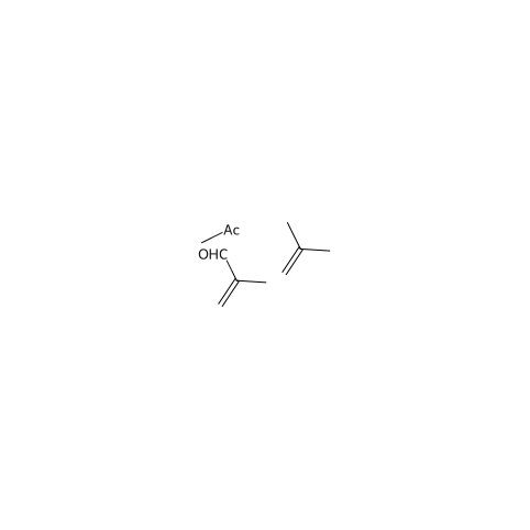 C=C(C)C.C=C(C)C=O.CC(C)=O